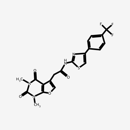 Cn1c(=O)c2c(CC(=O)Nc3nc(-c4ccc(C(F)(F)F)cc4)cs3)coc2n(C)c1=O